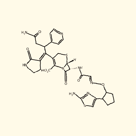 NC(=O)CC(C(=C1CCNC1=O)C1=C(C(=O)O)N2C(=O)[C@@H](NC(=O)C=NOC3CCCC3c3csc(N)n3)[C@H]2SC1)c1ccncc1